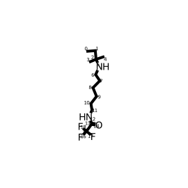 CCC(C)(C)NCCCCCCNC(=O)C(F)(F)F